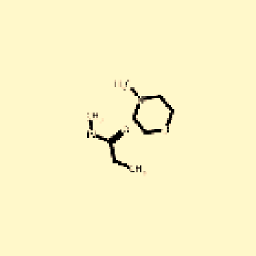 CCC(=O)NC.CN1CCOCC1